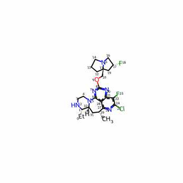 CC[C@@H]1NCCN2c3nc(OC[C@@]45CCCN4C[C@H](F)C5)nc4c(F)c(Cl)nc(c34)[C@H](C)C[C@H]12